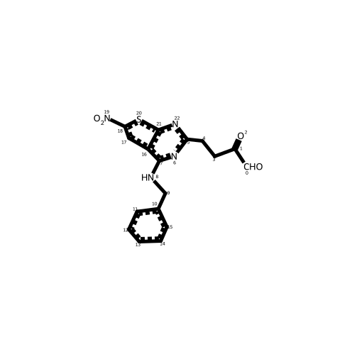 O=CC(=O)CCc1nc(NCc2ccccc2)c2cc([N+](=O)[O-])sc2n1